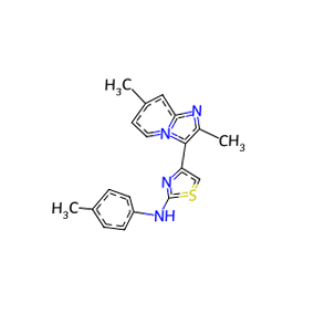 Cc1ccc(Nc2nc(-c3c(C)nc4cc(C)ccn34)cs2)cc1